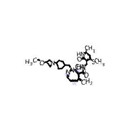 C=C1/C=C\C=N/N(CC2CCC(N3CC(OCC)C3)CC2)/C(C)=C\1C(=O)NCc1c(SC)cc(C)[nH]c1=O